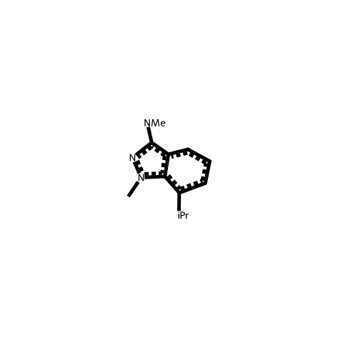 CNc1nn(C)c2c(C(C)C)cccc12